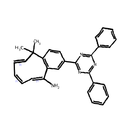 CC1(C)/C=C/C=C\C=C(/N)c2cc(-c3nc(-c4ccccc4)nc(-c4ccccc4)n3)ccc21